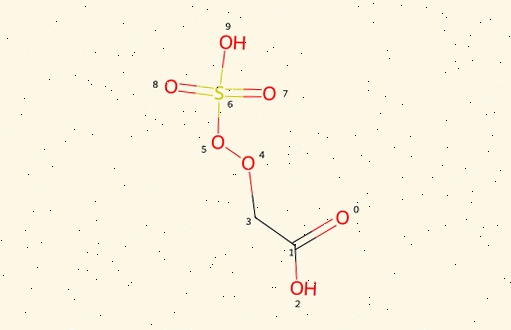 O=C(O)COOS(=O)(=O)O